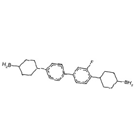 BC1CCC(c2ccc(-c3ccc(C4CCC(B)CC4)c(F)c3)cc2)CC1